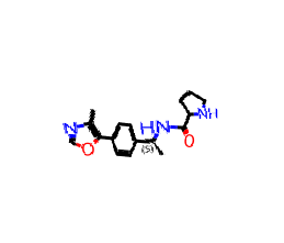 Cc1ncoc1-c1ccc([C@H](C)NC(=O)C2CCCN2)cc1